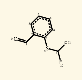 O=Cc1ccccc1SC(F)F